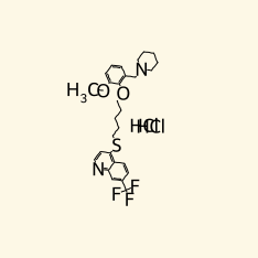 COc1cccc(CN2CCCCC2)c1OCCCCCSc1ccnc2cc(C(F)(F)F)ccc12.Cl.Cl